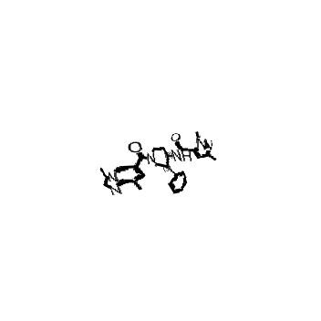 Cc1cc(C(=O)N[C@@H]2CCN(C(=O)c3cc(C)c4ncc(C)n4c3)C[C@@H]2c2ccccc2)n(C)n1